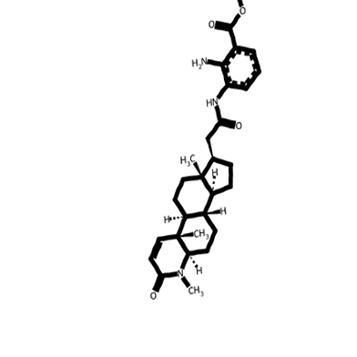 COC(=O)c1cccc(NC(=O)C[C@H]2CC[C@H]3[C@@H]4CC[C@H]5N(C)C(=O)C=C[C@]5(C)[C@H]4CC[C@]23C)c1N